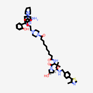 Cc1ncsc1-c1ccc(CNC(=O)[C@@H]2C[C@@H](O)CN2C(=O)C(NC(=O)CCCCCCCCC(=O)N2CCN(CCOc3ccc(N4C5CCC4CN(c4cc(-c6ccccc6O)nnc4N)C5)cc3)CC2)C(C)(C)C)cc1